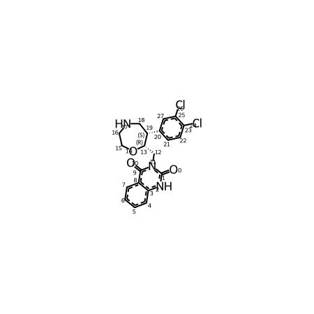 O=c1[nH]c2ccccc2c(=O)n1C[C@@H]1OCCNC[C@@H]1c1ccc(Cl)c(Cl)c1